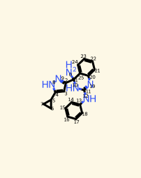 NC1(c2cc(C3CC3)[nH]n2)NC(Nc2ccccc2)=Nc2ccccc21